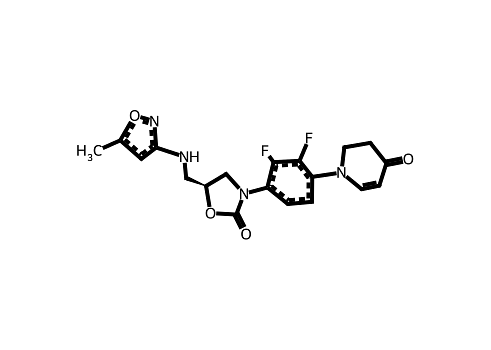 Cc1cc(NC[C@H]2CN(c3ccc(N4C=CC(=O)CC4)c(F)c3F)C(=O)O2)no1